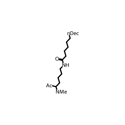 CCCCCCCCCCCCCCCC(=O)NCCCCC(NC)C(C)=O